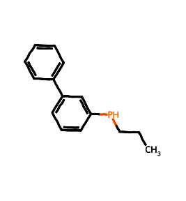 CCCPc1cccc(-c2ccccc2)c1